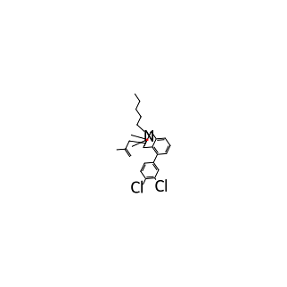 C=C(C)CC1C2c3c(-c4ccc(Cl)c(Cl)c4)cccc3C(CC2(C)C)N1CCCCC